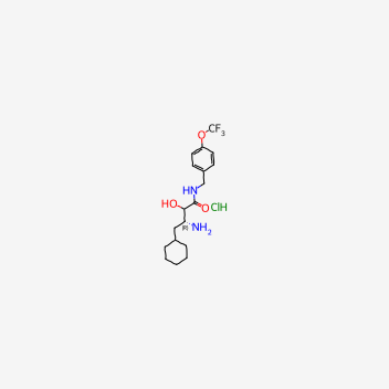 Cl.N[C@H](CC1CCCCC1)C(O)C(=O)NCc1ccc(OC(F)(F)F)cc1